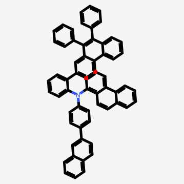 c1ccc(-c2c(-c3ccccc3)c3cc(-c4ccccc4N(c4ccc(-c5ccc6ccccc6c5)cc4)c4cccc5c4ccc4ccccc45)ccc3c3ccccc23)cc1